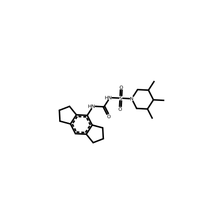 CC1CN(S(=O)(=O)NC(=O)Nc2c3c(cc4c2CCC4)CCC3)CC(C)C1C